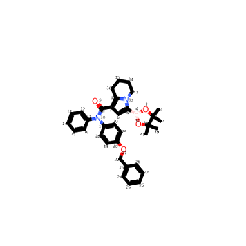 CC1(C)OB(c2cc(C(=O)N(c3ccccc3)c3ccc(OCc4ccccc4)cc3)c3n2CCCC3)OC1(C)C